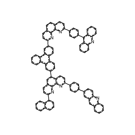 c1ccc2nc3ccc(-c4ccc(-c5ccc6c(-c7ccc8c9ccc(-c%10ccc%11ccc%12ccc(-c%13ccc(-c%14c%15ccccc%15nc%15ccccc%14%15)cc%13)nc%12c%11n%10)cc9c9ccccc9c8c7)cc7ccc(-c8cccc9ccccc89)nc7c6n5)cc4)cc3cc2c1